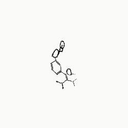 COC(=C(C(C)C)C(C)C)c1cccc(OP=O)c1